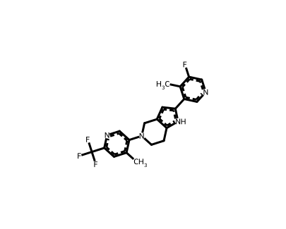 Cc1cc(C(F)(F)F)ncc1N1CCc2[nH]c(-c3cncc(F)c3C)cc2C1